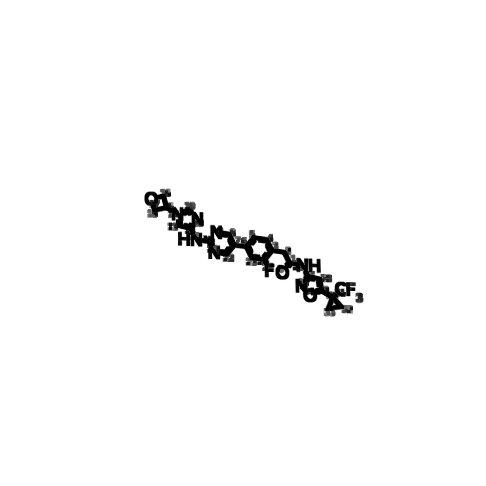 O=C(Cc1ccc(-c2cnc(Nc3cn(C4COC4)cn3)nc2)cc1F)Nc1cc(C2(C(F)(F)F)CC2)on1